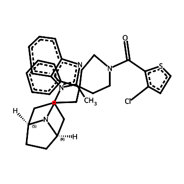 Cc1nc2ccccc2n1C1C[C@H]2CC[C@@H](C1)N2CCC1(c2ccccc2)CCN(C(=O)c2sccc2Cl)CC1